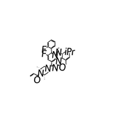 C=CC(=O)N1[C@H](C)CN(c2nc(=O)n([C@@H](/C(C)=C\C)[C@@H](N=C)C(C)C)c3nc(-c4ccccc4F)c(F)cc23)C[C@@H]1C